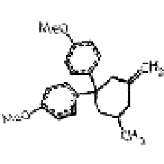 C=C1CC(C)CC(c2ccc(OC)cc2)(c2ccc(OC)cc2)C1